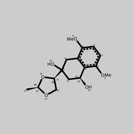 COc1ccc(OC)c2c1CC(O)([C@H]1CO[C@@H](C)O1)C[C@@H]2O